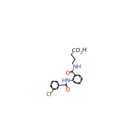 O=C(O)CCCNC(=O)c1ccccc1NC(=O)c1cccc(Cl)c1